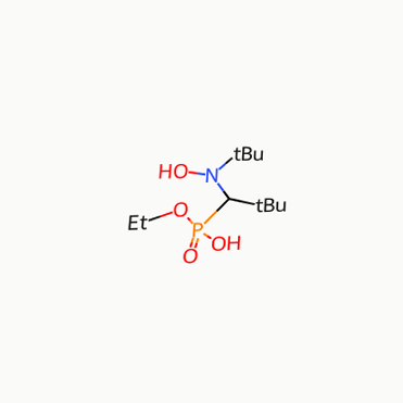 CCOP(=O)(O)C(N(O)C(C)(C)C)C(C)(C)C